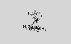 C[N+](C)([O-])CCCN(CCC[N+](C)(C)[O-])S(=O)(=O)CCC(F)(C(F)(F)F)C(F)(F)F